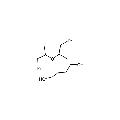 CC(C)CC(C)OC(C)CC(C)C.OCCCCO